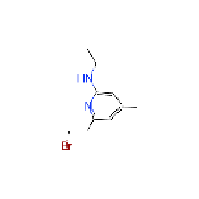 CCNc1cc(C)cc(CCBr)n1